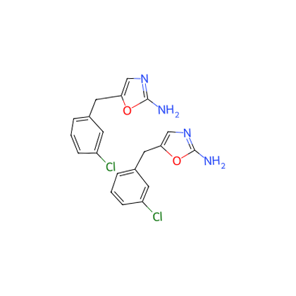 Nc1ncc(Cc2cccc(Cl)c2)o1.Nc1ncc(Cc2cccc(Cl)c2)o1